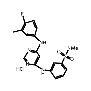 CNS(=O)(=O)c1cccc(Nc2cc(Nc3ccc(F)c(C)c3)ncn2)c1.Cl